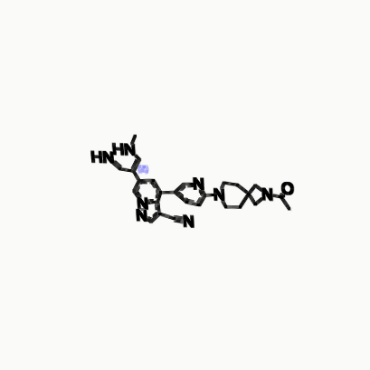 CN/C=C(\C=N)c1cc(-c2ccc(N3CCC4(CC3)CN(C(C)=O)C4)nc2)c2c(C#N)cnn2c1